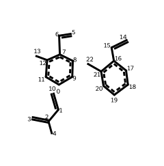 C=CC(=C)C.C=Cc1ccccc1C.C=Cc1ccccc1C